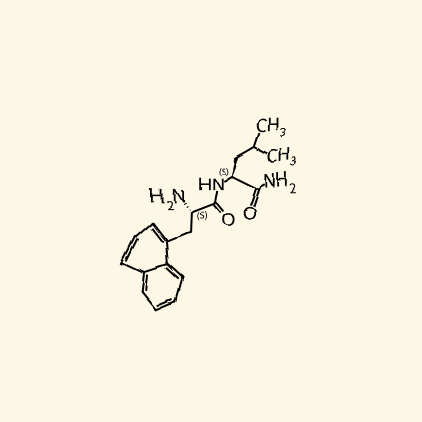 CC(C)C[C@H](NC(=O)[C@@H](N)Cc1cccc2ccccc12)C(N)=O